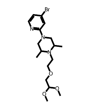 COC(COCCN1C(C)CN(c2cc(Br)ccn2)CC1C)OC